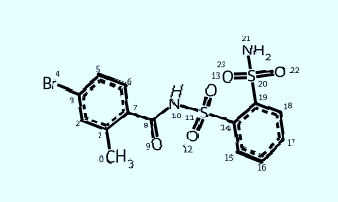 Cc1cc(Br)ccc1C(=O)NS(=O)(=O)c1ccccc1S(N)(=O)=O